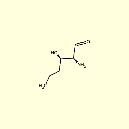 CCC[C@@H](O)[C@H](N)C=O